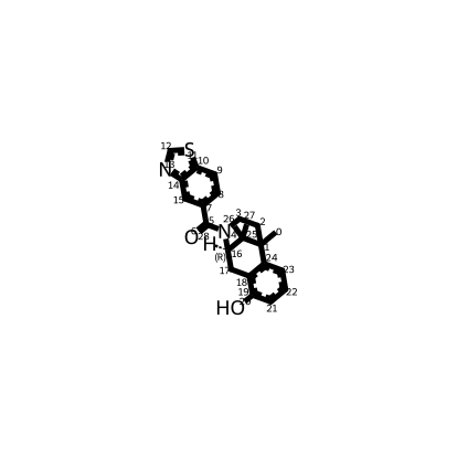 CC12CCN(C(=O)c3ccc4scnc4c3)[C@H](Cc3c(O)cccc31)C2(C)C